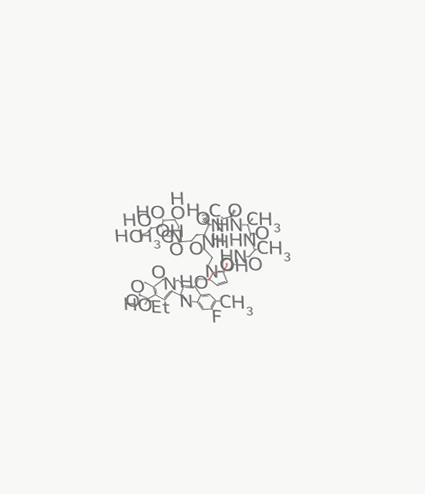 CC[C@@]1(O)C(=O)OCc2c1cc1n(c2=O)Cc2c-1nc1cc(F)c(C)cc1c2CCCCOCNC(=O)[C@H](C)NC(=O)[C@H](C)NC(=O)[C@H](C)NC(=O)[C@H](CCC(=O)N(C)C[C@H](O)[C@@H](O)[C@H](O)[C@H](O)CO)NC(=O)CCN1C(O)C=CC1O